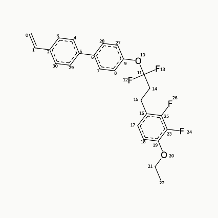 C=Cc1ccc(-c2ccc(OC(F)(F)CCc3ccc(OCC)c(F)c3F)cc2)cc1